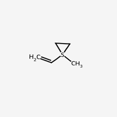 C=CS1(C)CC1